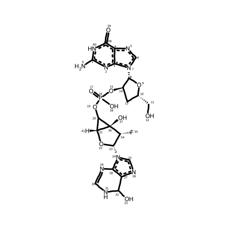 Nc1nc2c(ncn2[C@@H]2O[C@H](CO)C[C@H]2OP(=O)(O)OC2[C@H]3O[C@@H](n4cnc5c4N=CNC5O)[C@@H](F)[C@@]23O)c(=O)[nH]1